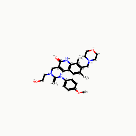 C=C(Nc1ccc(OCC)cc1)N(CCO)Cc1cc2cc(C)c(CN3CCOCC3)c(C)c2[nH]c1=O